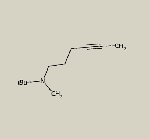 CC#CCCCN(C)C(C)CC